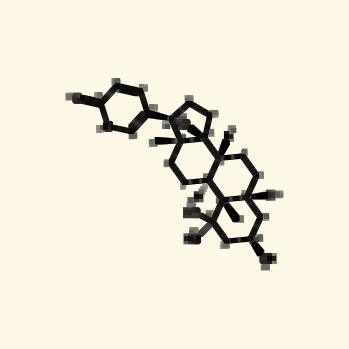 C[C@]12[C@H](CC[C@@H]3[C@@H]1CC[C@]1(C)[C@@H](c4ccc(=O)oc4)CC[C@]31O)C[C@@H](O)CC2(O)O